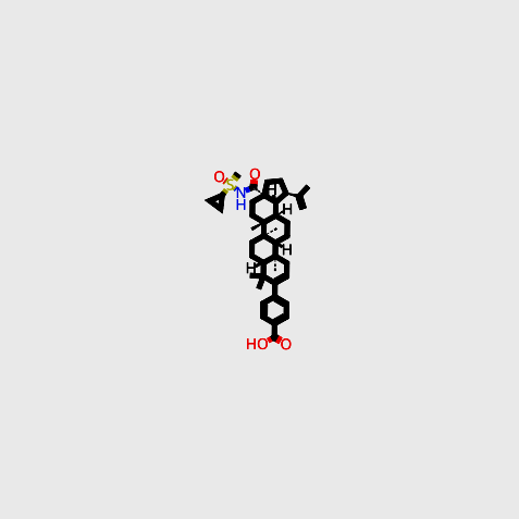 C=C(C)[C@@H]1CC[C@]2(C(=O)NS(=C)(=O)C3CC3)CC[C@]3(C)[C@H](CC[C@@H]4[C@@]5(C)CC=C(c6ccc(C(=O)O)cc6)C(C)(C)[C@@H]5CC[C@]43C)[C@@H]12